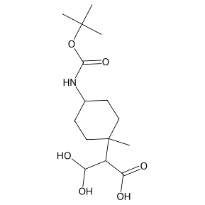 CC(C)(C)OC(=O)NC1CCC(C)(C(C(=O)O)C(O)O)CC1